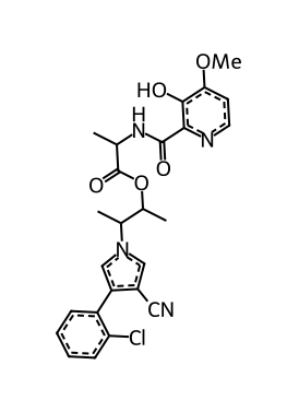 COc1ccnc(C(=O)NC(C)C(=O)OC(C)C(C)n2cc(C#N)c(-c3ccccc3Cl)c2)c1O